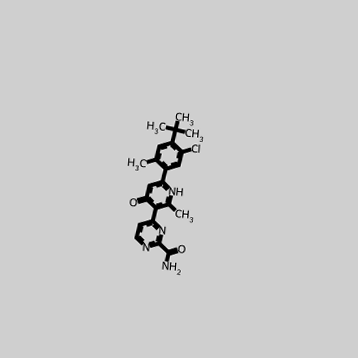 Cc1cc(C(C)(C)C)c(Cl)cc1-c1cc(=O)c(-c2ccnc(C(N)=O)n2)c(C)[nH]1